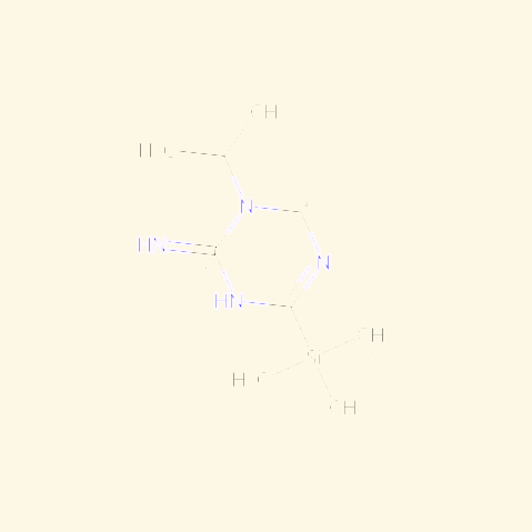 CC(C)N1CN=C([Si](C)(C)C)NC1=N